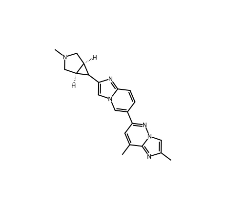 Cc1cn2nc(-c3ccc4nc(C5[C@H]6CN(C)C[C@@H]56)cn4c3)cc(C)c2n1